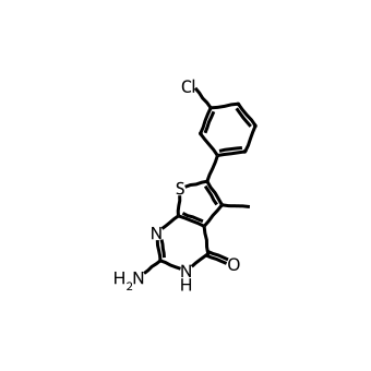 Cc1c(-c2cccc(Cl)c2)sc2nc(N)[nH]c(=O)c12